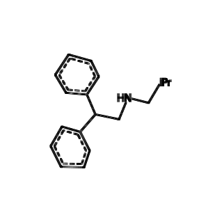 CC(C)CNCC(c1ccccc1)c1ccccc1